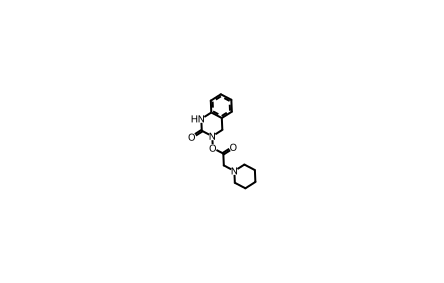 O=C(CN1CCCCC1)ON1Cc2ccccc2NC1=O